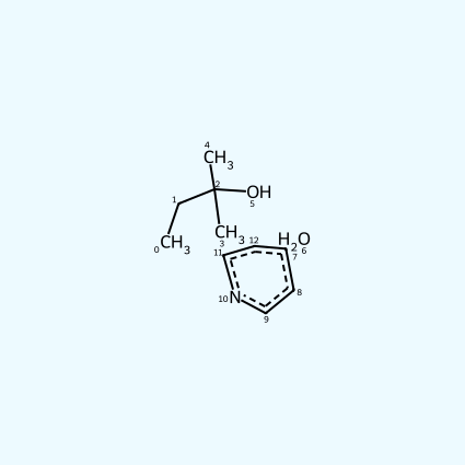 CCC(C)(C)O.O.c1ccncc1